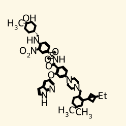 CCC12CC(C3=C(CN4CCN(c5ccc(C(=O)NS(=O)(=O)c6ccc(NC[C@H]7CC[C@](C)(O)CC7)c([N+](=O)[O-])c6)c(Oc6cnc7[nH]ccc7c6)c5)CC4)CCC(C)(C)C3)(C1)C2